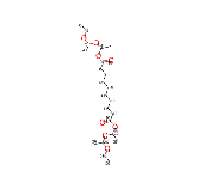 CCOC(C)OC(C)OC(=O)CCCCCCCCC(=O)OC(C)OC(C)OCC